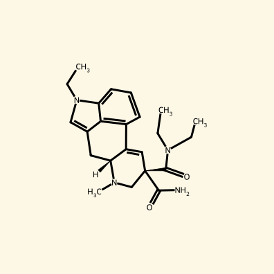 CCN(CC)C(=O)[C@]1(C(N)=O)C=C2c3cccc4c3c(cn4CC)C[C@H]2N(C)C1